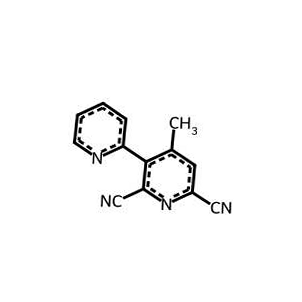 Cc1cc(C#N)nc(C#N)c1-c1ccccn1